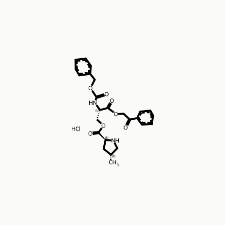 C[C@H]1CN[C@H](C(=O)OC[C@H](NC(=O)OCc2ccccc2)C(=O)OCC(=O)c2ccccc2)C1.Cl